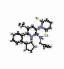 COCN(Sc1cccc(F)n1)c1ccc(C(F)(F)F)c(-c2ccccc2C2CCCC2)n1